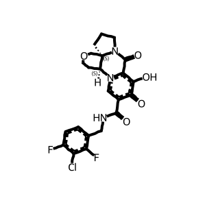 O=C(NCc1ccc(F)c(Cl)c1F)c1cn2c(c(O)c1=O)C(=O)N1CCC[C@]13COCC[C@H]23